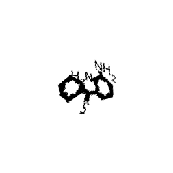 Nc1cccc(C(=S)c2ccccc2)c1N